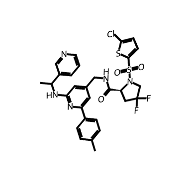 Cc1ccc(-c2cc(CNC(=O)[C@@H]3CC(F)(F)CN3S(=O)(=O)c3ccc(Cl)s3)cc(NC(C)c3cccnc3)n2)cc1